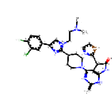 C=C1N=C(N2CCC(c3nc(-c4ccc(F)c(Cl)c4)cn3CCN(C)C)CC2)C2=C(N1)NC(=O)C2c1nccs1